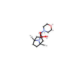 O=C(O)N1[C@@H]2CC[C@H]1CC(O)(CN1CCOCC1)C2